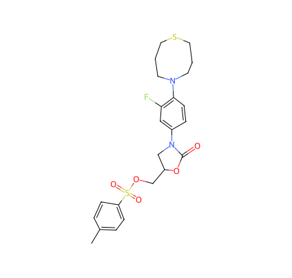 Cc1ccc(S(=O)(=O)OCC2CN(c3ccc(N4CCCSCCC4)c(F)c3)C(=O)O2)cc1